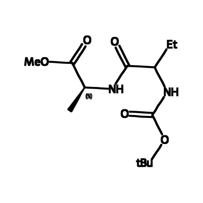 CCC(NC(=O)OC(C)(C)C)C(=O)N[C@@H](C)C(=O)OC